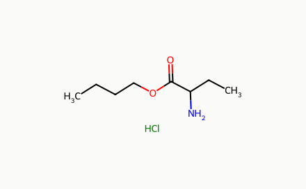 CCCCOC(=O)C(N)CC.Cl